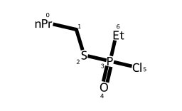 CCCCSP(=O)(Cl)CC